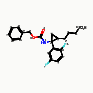 O=C(N[C@]1(c2cc(F)ccc2F)C[C@H]1CCCS(=O)(=O)O)OCc1ccccc1